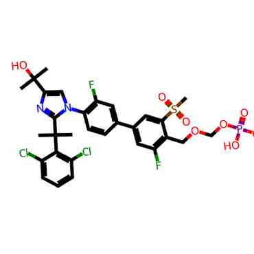 CC(C)(O)c1cn(-c2ccc(-c3cc(F)c(COCOP(=O)(O)O)c(S(C)(=O)=O)c3)cc2F)c(C(C)(C)c2c(Cl)cccc2Cl)n1